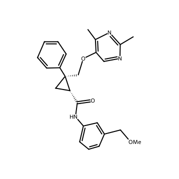 COCc1cccc(NC(=O)[C@@H]2C[C@@]2(COc2cnc(C)nc2C)c2ccccc2)c1